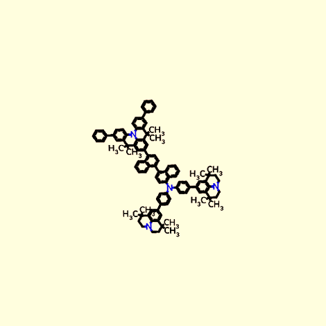 CC1(C)CCN2CCC(C)(C)c3cc(-c4ccc(N(c5ccc(-c6cc7c8c(c6)C(C)(C)CCN8CCC7(C)C)cc5)c5ccc(-c6ccc(-c7cc8c9c(c7)C(C)(C)c7cc(-c%10ccccc%10)ccc7N9c7ccc(-c9ccccc9)cc7C8(C)C)c7ccccc67)c6ccccc56)cc4)cc1c32